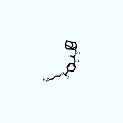 CCCCOC(=O)c1ccc(NC(=O)NC2C3CC4CC(C3)CC2C4)cc1